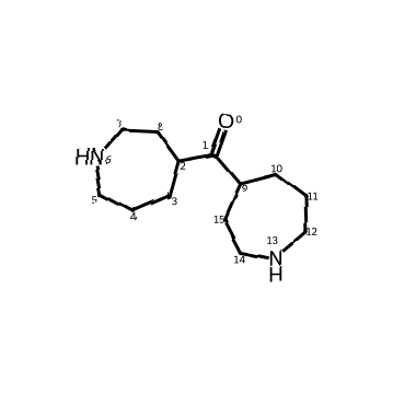 O=C(C1CCCNCC1)C1CCCNCC1